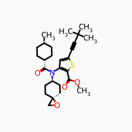 COC(=O)c1sc(C#CC(C)(C)C)cc1N(C(=O)[C@H]1CC[C@H](C)CC1)[C@H]1CC[C@@]2(CC1)CO2